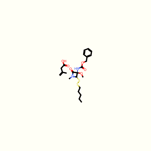 C=C(C)CC(=O)O.CCCCCSS[C@H]1N(C)C(=O)[C@]1(NC(=O)OCc1ccccc1)OC